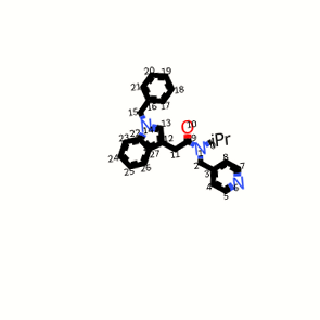 CC(C)N(Cc1ccncc1)C(=O)Cc1cn(Cc2ccccc2)c2ccccc12